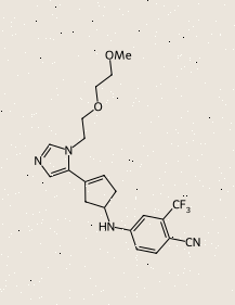 COCCOCCn1cncc1C1=CCC(Nc2ccc(C#N)c(C(F)(F)F)c2)C1